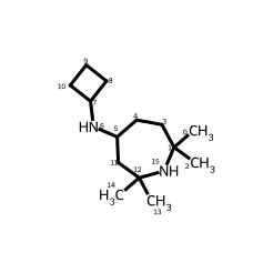 CC1(C)CCC(NC2CCC2)CC(C)(C)N1